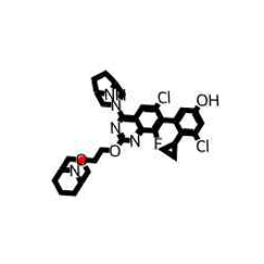 Oc1cc(Cl)c(C2CC2)c(-c2c(Cl)cc3c(N4CC5CCC(C4)N5)nc(OCCCN4C5CCCC4COC5)nc3c2F)c1